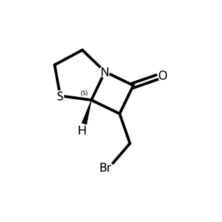 O=C1C(CBr)[C@@H]2SCCN12